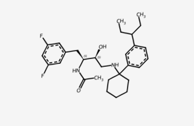 CCC(CC)c1cccc(C2(NC[C@H](O)[C@H](Cc3cc(F)cc(F)c3)NC(C)=O)CCCCC2)c1